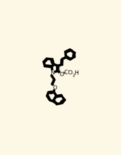 O=C(O)Oc1c(/C=C/c2ccccc2)c2ccccc2n1CCCOc1cccc2ccccc12